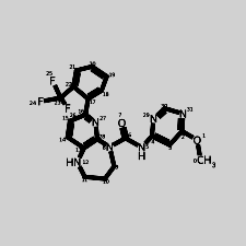 COc1cc(NC(=O)N2CCCNc3ccc(-c4ccccc4C(F)(F)F)nc32)ncn1